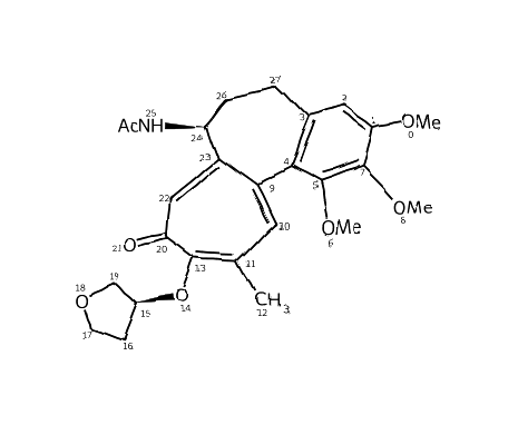 COc1cc2c(c(OC)c1OC)-c1cc(C)c(O[C@H]3CCOC3)c(=O)cc1[C@@H](NC(C)=O)CC2